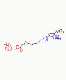 CC1(C)OC[C@@H](COC(=O)CCCCCCCCCCCNC2=CC=C([N+](=O)[O-])N3ONC=C23)O1